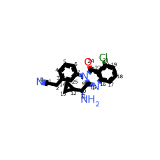 N#CCc1cccc(-n2c([C@@H](N)C3CC3)nc3cccc(Cl)c3c2=O)c1